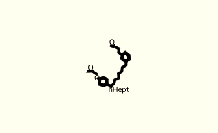 CCCCCCCC(CCCCCCCc1cccc(CCC2CO2)c1)c1ccc(OCC2CO2)cc1